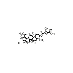 CNC12CCC3C(CCC4C3(C)CCC3C(C)C(OC(=O)C5CC(C(=O)O)C5C)CCC34C)C1=C(C(C)C)C(=O)C2